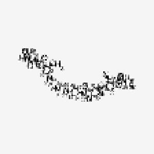 Cc1cc(N2CC(CN3CCN(c4ccc(-n5cnc6ccc(Oc7c(F)ccc(NS(=O)(=O)N8CC[C@@H](F)C8)c7C#N)cc6c5=O)cc4)CC3)C2)cc2c1C(=O)N([C@H]1CCC(=O)NC1=O)C2